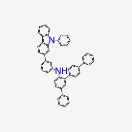 c1ccc(-c2ccc(-c3cc(-c4ccccc4)ccc3Nc3cccc(-c4ccc5c6ccccc6n(-c6ccccc6)c5c4)c3)cc2)cc1